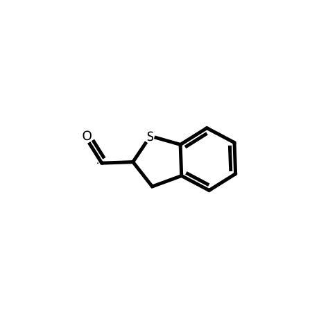 O=[C]C1Cc2ccccc2S1